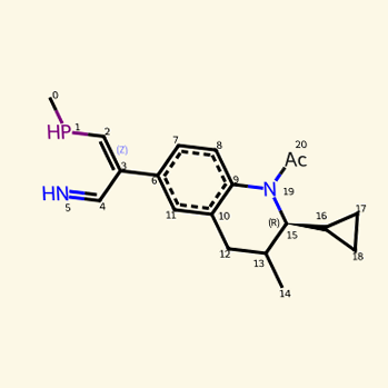 CP/C=C(\C=N)c1ccc2c(c1)CC(C)[C@H](C1CC1)N2C(C)=O